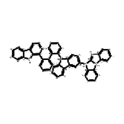 c1ccc(-c2nccc3c2sc2ccccc23)c(-c2ccccc2-n2c3ccccc3c3cc(-n4c5ccccc5n5c6ccccc6nc45)ccc32)c1